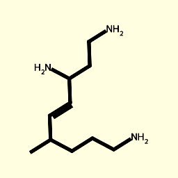 CC(C=CC(N)CCN)CCCN